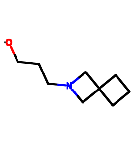 [O]CCCN1CC2(CCC2)C1